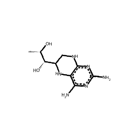 C[C@H](O)[C@@H](O)C1CNc2nc(N)nc(N)c2N1